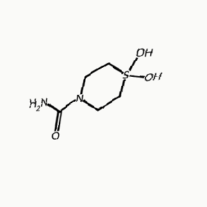 NC(=O)N1CCS(O)(O)CC1